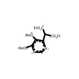 CCOC(=O)C(C(=O)OCC)c1ncnc(OC)c1OC